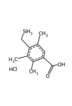 Cc1cc(C(=O)O)c(C)c(C)c1C[SiH3].Cl